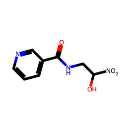 O=C(NCC(O)[N+](=O)[O-])c1cccnc1